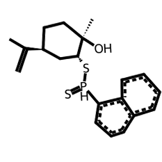 C=C(C)[C@H]1CC[C@@](C)(O)[C@H](S[PH](=S)c2cccc3ccccc23)C1